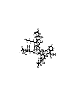 CCCCCC/C(OC(=O)CNC(=O)C(COCCCNC(=O)OC(C)(C)C)NC(=O)C(CNC(=O)OC(C)(C)C)NC(=O)C(NC)C1CCCCC1)=C(\C)C(=O)N(C)C(C=O)CC(C)C